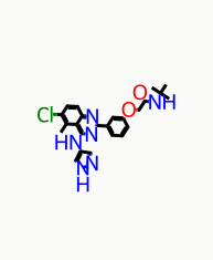 Cc1c(Cl)ccc2nc(-c3cccc(OCC(=O)NC(C)(C)C)c3)nc(Nc3cn[nH]c3)c12